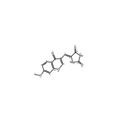 COc1ccc2c(=O)c(/C=C3\NC(=O)NC3=O)coc2c1